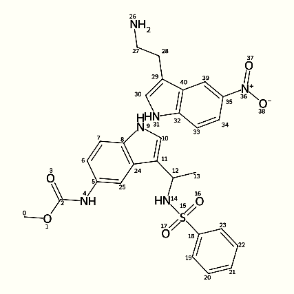 COC(=O)Nc1ccc2[nH]cc(C(C)NS(=O)(=O)c3ccccc3)c2c1.NCCc1c[nH]c2ccc([N+](=O)[O-])cc12